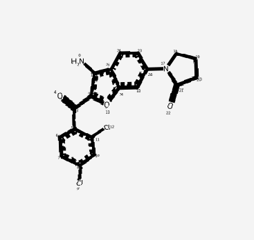 Nc1c(C(=O)c2ccc(Cl)cc2Cl)oc2cc(N3CCCC3=O)ccc12